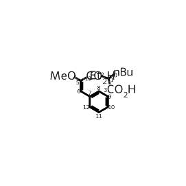 CCCCC(CC)C(=O)O.COC(=Cc1ccccc1)C(=O)O